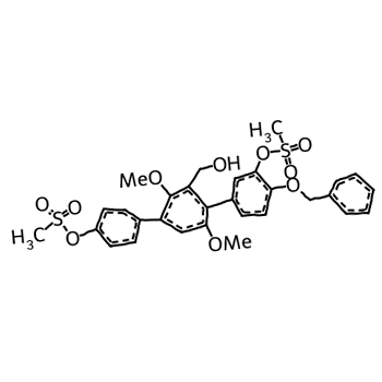 COc1cc(-c2ccc(OS(C)(=O)=O)cc2)c(OC)c(CO)c1-c1ccc(OCc2ccccc2)c(OS(C)(=O)=O)c1